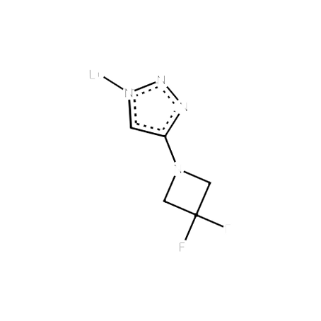 CCn1cc(N2CC(F)(F)C2)nn1